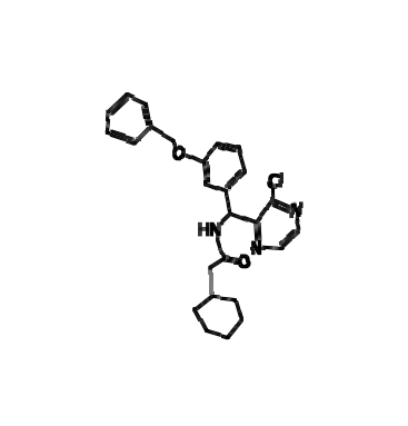 O=C(CC1CCCCC1)NC(c1cccc(OCc2ccccc2)c1)c1nccnc1Cl